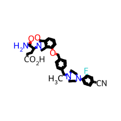 C[C@H](c1ccc(COc2cccc3c2CN(C(CCC(=O)O)C(N)=O)C3=O)cc1)N1CCN(c2ccc(C#N)cc2F)CC1